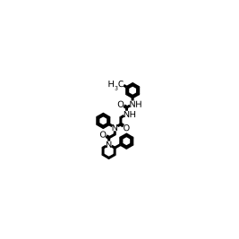 Cc1cccc(NC(=O)NCC(=O)N(CC(=O)N2CCCCC2c2ccccc2)c2ccccc2)c1